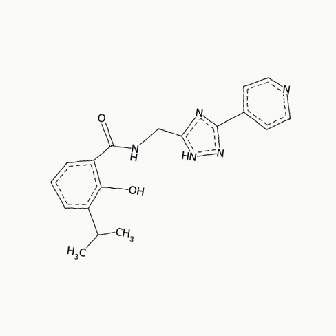 CC(C)c1cccc(C(=O)NCc2nc(-c3ccncc3)n[nH]2)c1O